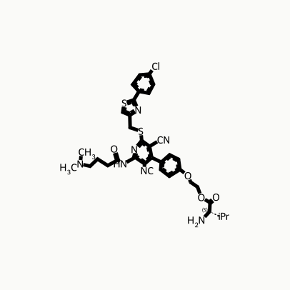 [C-]#[N+]c1c(NC(=O)CCCN(C)C)nc(SCc2csc(-c3ccc(Cl)cc3)n2)c(C#N)c1-c1ccc(OCCOC(=O)[C@@H](N)C(C)C)cc1